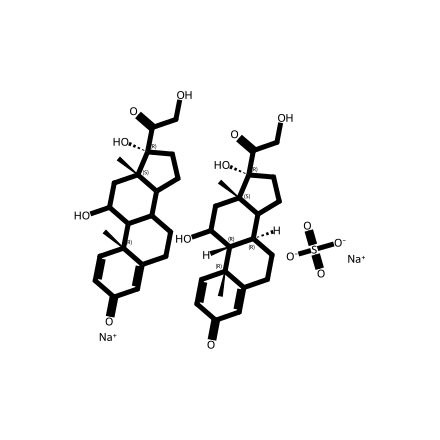 C[C@]12C=CC(=O)C=C1CCC1C2C(O)C[C@@]2(C)C1CC[C@]2(O)C(=O)CO.C[C@]12C=CC(=O)C=C1CC[C@@H]1C3CC[C@](O)(C(=O)CO)[C@@]3(C)CC(O)[C@H]12.O=S(=O)([O-])[O-].[Na+].[Na+]